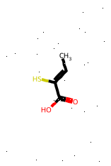 CC=C(S)C(=O)O